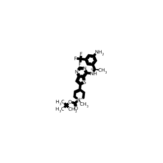 C[C@@H](Nc1ncnc2cc(C3=CC[N@+](C)(C(=O)OC(C)(C)C)CC3)sc12)c1cc(N)cc(C(F)(F)F)c1